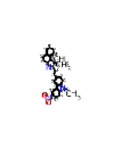 CCn1c2ccc(C=CC3=Nc4ccc5ccccc5c4C3(C)C)cc2c2cc([N+](=O)[O-])ccc21